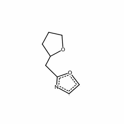 [c]1coc(CC2CCCO2)n1